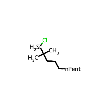 CCCCCCCCC(C)(C)[SiH2]Cl